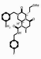 Bc1cccc(CN2C[C@H]3N(C(=O)CN(C)N3C(=O)NCc3ccc(F)cc3)[C@@H](CCSC)C2=O)c1